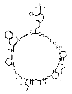 CC[C@H](C)[C@H]1CN(C)CCN2CCCC2=CN(C)C(Cc2ccccc2)=CN(C)C=CN[C@@H](CCc2ccc(C(F)(F)F)c(Cl)c2)CCNCCNCC2(CCCC2)NC(C)[C@H](C(C)C)N2C[C@H](C)CC2CN(C)[C@@H](C)CN1